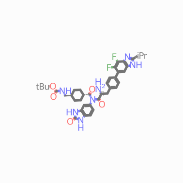 CC(C)c1nc2c(F)c(F)c(-c3ccc(C[C@H](N)C(=O)N(c4ccc5[nH]c(=O)[nH]c5c4)C(=O)[C@H]4CC[C@H](CNC(=O)OC(C)(C)C)CC4)cc3)cc2[nH]1